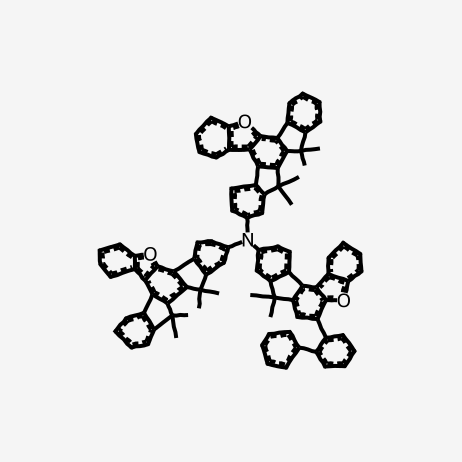 CC1(C)c2cc(N(c3ccc4c(c3)C(C)(C)c3c5c(c6c(oc7ccccc76)c3-4)-c3ccccc3C5(C)C)c3ccc4c(c3)C(C)(C)c3c5c(c6oc7ccccc7c6c3-4)-c3ccccc3C5(C)C)ccc2-c2c1cc(-c1ccccc1-c1ccccc1)c1oc3ccccc3c21